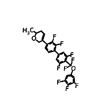 CC1CC=C(c2ccc(-c3cc(F)c(C(F)(F)Oc4cc(F)c(F)c(F)c4)c(F)c3)c(F)c2F)CO1